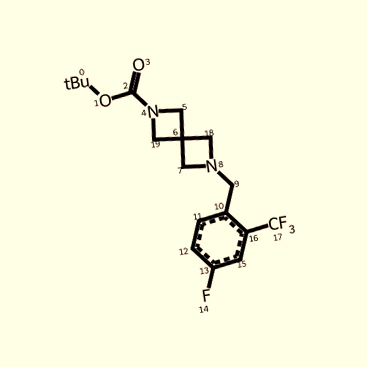 CC(C)(C)OC(=O)N1CC2(CN(Cc3ccc(F)cc3C(F)(F)F)C2)C1